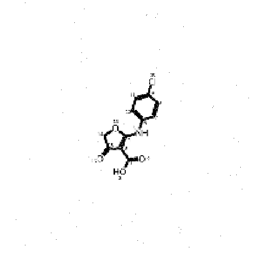 O=C(O)C1=C(Nc2ccc(Cl)cc2)OCC1=O